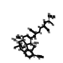 COc1ccc2c3c1O[C@@H]1C(OC(=O)CCC(=O)O[C@@H](C)C(=O)O)=CC[C@]4(O)[C@H](C2)N(C)CC[C@@]314